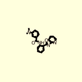 CN(C)c1cccc(C(=O)Nc2ccccc2-c2nc3ncccc3o2)c1